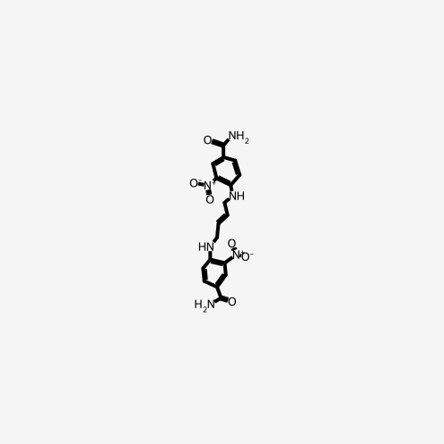 NC(=O)c1ccc(NC/C=C/CNc2ccc(C(N)=O)cc2[N+](=O)[O-])c([N+](=O)[O-])c1